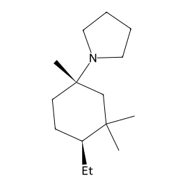 CC[C@H]1CC[C@](C)(N2CCCC2)CC1(C)C